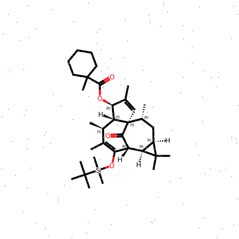 CC1=C[C@]23C(=O)[C@@H](C(O[Si](C)(C)C(C)(C)C)=C(C)[C@@H](C)[C@@H]2[C@H]1OC(=O)C1(C)CCCCC1)[C@H]1[C@@H](C[C@H]3C)C1(C)C